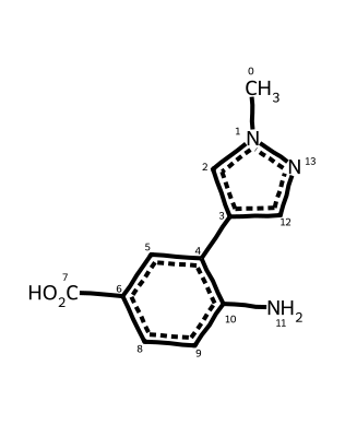 Cn1cc(-c2cc(C(=O)O)ccc2N)cn1